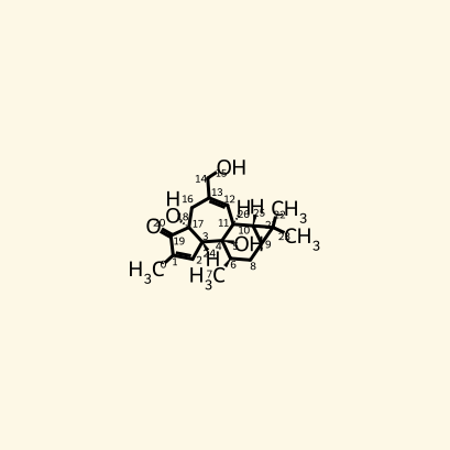 CC1=C[C@H]2[C@@]3(O)[C@H](C)C[C]4[C@H]([C@@H]3C=C(CO)C[C@]2(O)C1=O)C4(C)C